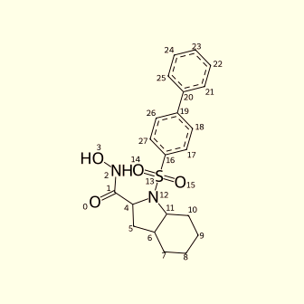 O=C(NO)C1CC2CCCCC2N1S(=O)(=O)c1ccc(-c2ccccc2)cc1